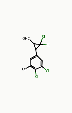 CCc1cc(C2C(C=O)C2(Cl)Cl)cc(Cl)c1Cl